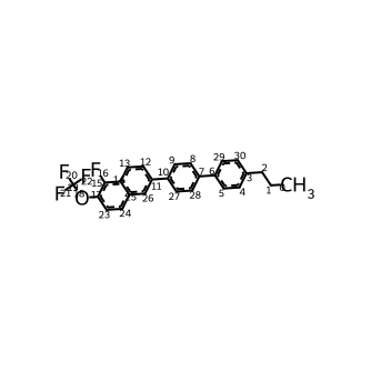 CCCc1ccc(-c2ccc(-c3ccc4c(F)c(OC(F)(F)F)ccc4c3)cc2)cc1